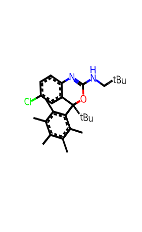 Cc1c(C)c(C)c(C2(C(C)(C)C)OC(NCC(C)(C)C)=Nc3ccc(Cl)cc32)c(C)c1C